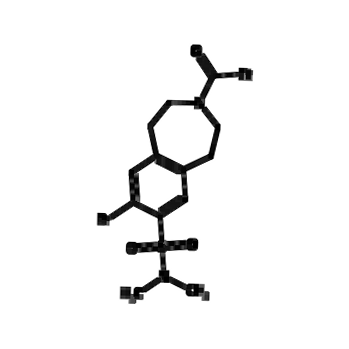 CCC(=O)N1CCc2cc(Br)c(S(=O)(=O)N(C)C)cc2CC1